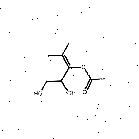 CC(=O)OC(=C(C)C)C(O)CO